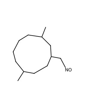 CC1CCCCC(C)CC(CN=O)CC1